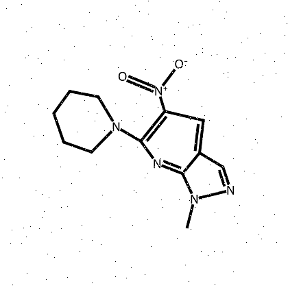 Cn1ncc2cc([N+](=O)[O-])c(N3CCCCC3)nc21